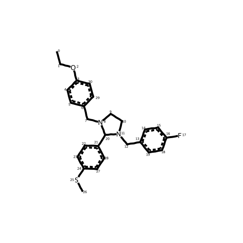 CCOc1ccc(CN2CCN(Cc3ccc(F)cc3)C2c2ccc(SC)cc2)cc1